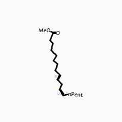 CCCCC/C=C\C/C=C/CCCCCCCC(=O)OC